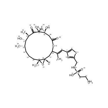 C/C(=C\c1csc(CNP(=O)(O)CCN)n1)C1C[C@@H]2O[C@]2(C)CCC[C@H](C)[C@H](O)[C@@H](C)C(=O)C(C)(C)[C@@H](O)CC(=O)O1